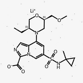 CC[C@H]1CO[C@@H](COC)CN1c1cc(S(=O)(=O)NC2(C)CC2)cn2c(C(=O)[O-])ncc12.[Li+]